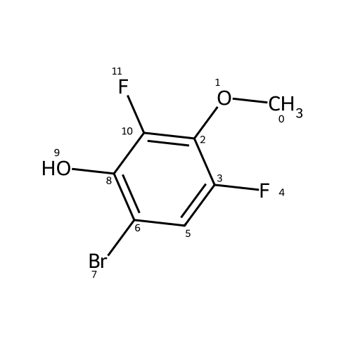 COc1c(F)cc(Br)c(O)c1F